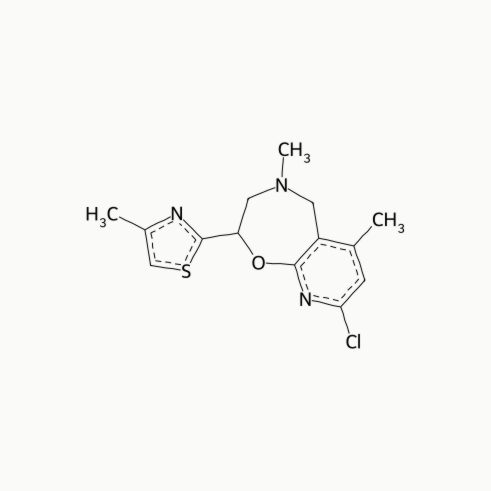 Cc1csc(C2CN(C)Cc3c(C)cc(Cl)nc3O2)n1